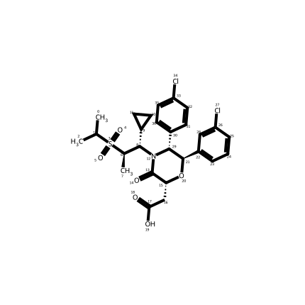 CC(C)S(=O)(=O)[C@H](C)[C@H](C1CC1)N1C(=O)[C@@H](CC(=O)O)O[C@H](c2cccc(Cl)c2)[C@H]1c1ccc(Cl)cc1